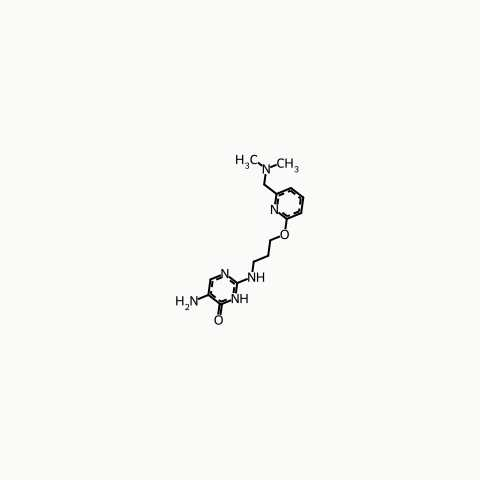 CN(C)Cc1cccc(OCCCNc2ncc(N)c(=O)[nH]2)n1